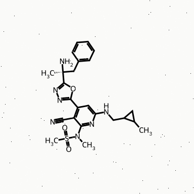 CC1CC1CNc1cc(-c2nnc([C@@](C)(N)Cc3ccccc3)o2)c(C#N)c(N(C)S(C)(=O)=O)n1